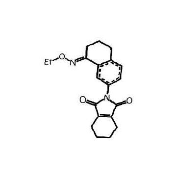 CCON=C1CCCc2ccc(N3C(=O)C4=C(CCCC4)C3=O)cc21